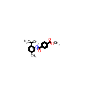 COC(=O)c1ccc(C(=O)N[C@H]2C[C@H](C)CC[C@H]2C(C)C)cc1